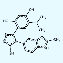 Cc1cc2cc(-n3c(S)nnc3-c3cc(C(C)C)c(O)cc3O)ccc2[nH]1